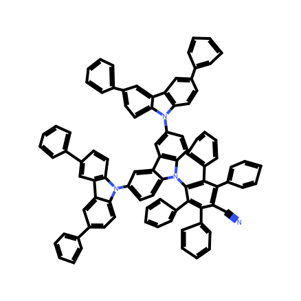 N#Cc1c(-c2ccccc2)c(-c2ccccc2)c(-n2c3ccc(-n4c5ccc(-c6ccccc6)cc5c5cc(-c6ccccc6)ccc54)cc3c3cc(-n4c5ccc(-c6ccccc6)cc5c5cc(-c6ccccc6)ccc54)ccc32)c(-c2ccccc2)c1-c1ccccc1